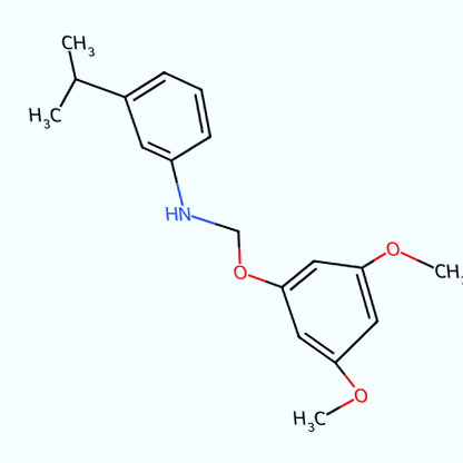 COc1cc(OC)cc(OCNc2cccc(C(C)C)c2)c1